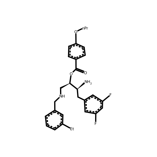 CCCOc1ccc(C(=O)O[C@H](CNCc2cccc(CC)c2)[C@@H](N)Cc2cc(F)cc(F)c2)cc1